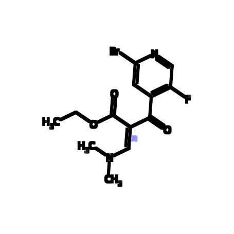 CCOC(=O)/C(=C\N(C)C)C(=O)c1cc(Br)ncc1F